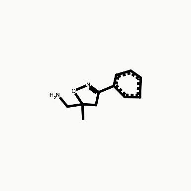 CC1(CN)CC(c2ccccc2)=NO1